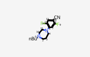 CCCCN1CCCN(c2cc(F)c(C#N)cc2F)CC1